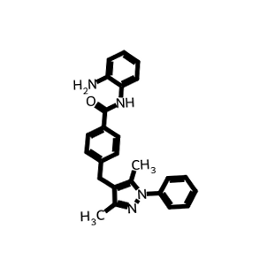 Cc1nn(-c2ccccc2)c(C)c1Cc1ccc(C(=O)Nc2ccccc2N)cc1